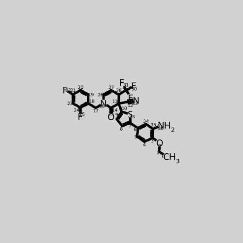 CCOc1ccc(-c2ccc(C3(C#N)C(=O)N(Cc4ccc(F)cc4F)C=CC3C(F)(F)F)s2)cc1N